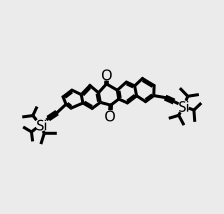 CC(C)[Si](C#Cc1ccc2cc3c(cc2c1)C(=O)c1cc2cc(C#C[Si](C(C)C)(C(C)C)C(C)C)ccc2cc1C3=O)(C(C)C)C(C)C